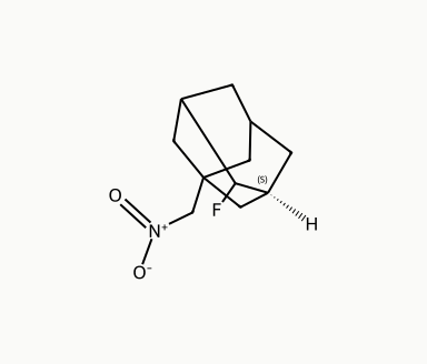 O=[N+]([O-])CC12CC3CC(C1)C(F)[C@@H](C3)C2